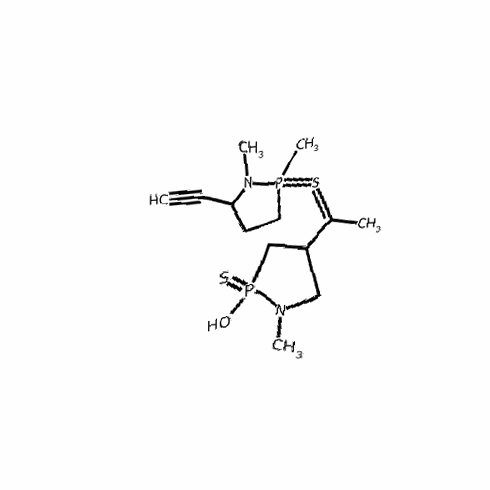 C#CC1CCP(C)(=S=C(C)C2CN(C)P(O)(=S)C2)N1C